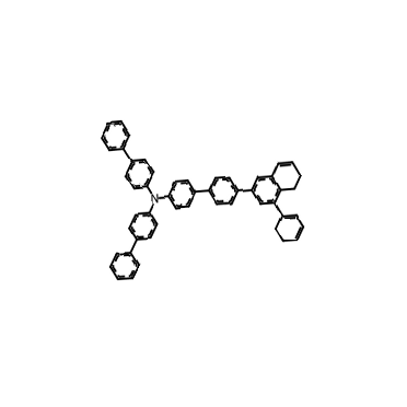 C1=CCCC(c2cc(-c3ccc(-c4ccc(N(c5ccc(-c6ccccc6)cc5)c5ccc(-c6ccccc6)cc5)cc4)cc3)cc3c2CCC=C3)=C1